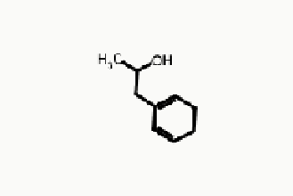 CC(O)CC1=CCCC=C1